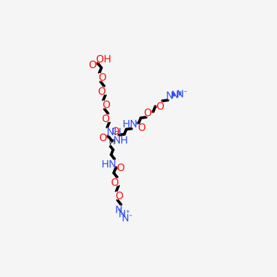 [N-]=[N+]=NCCOCCOCCC(=O)NCCCC[C@@H](NC(=O)CCCNC(=O)CCOCCOCCN=[N+]=[N-])C(=O)NCCOCCOCCOCCOCCC(=O)O